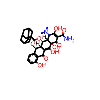 C[C@@H]1c2cccc(O)c2C(=O)C2=C(O)[C@@]3(O)C(=O)C(C(N)=O)=C(O)[C@H](N(C)C)[C@H]3[C@H](OC(=O)C34CC5CC(CC(C5)C3)C4)[C@H]21